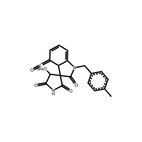 COC1C(=O)NC(=O)C12C(=O)N(Cc1ccc(C)cc1)C1=CC=CC(=C=O)C12